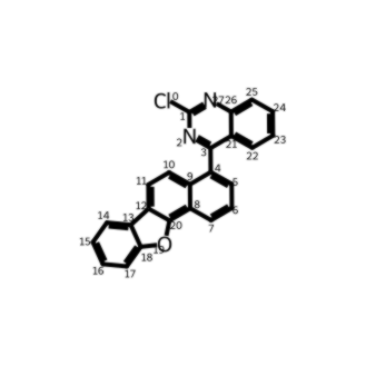 Clc1nc(-c2cccc3c2ccc2c4ccccc4oc32)c2ccccc2n1